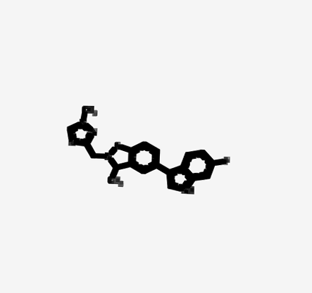 CC1c2cc(-c3c[nH]c4cc(F)ccc34)ccc2SN1Cc1ncn(C)n1